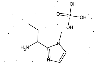 CCC(N)c1nccn1C.O=P(O)(O)O